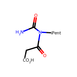 CCCC(C)N(C(N)=O)C(=O)CC(=O)O